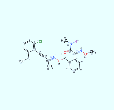 CCc1cccc(Cl)c1C#C/C(C)=N/OCc1ccccc1/C(=N\OC)C(=O)N(C)I